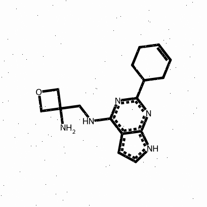 NC1(CNc2nc(C3CC=CCC3)nc3[nH]ccc23)COC1